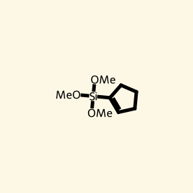 CO[Si](OC)(OC)C1=CCCC1